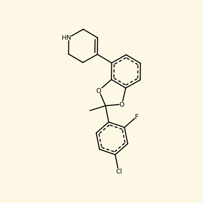 CC1(c2ccc(Cl)cc2F)Oc2cccc(C3=CCNCC3)c2O1